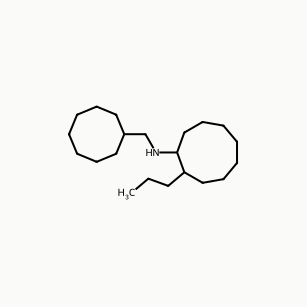 CCCC1CCCCCCCC1NCC1CCCCCCC1